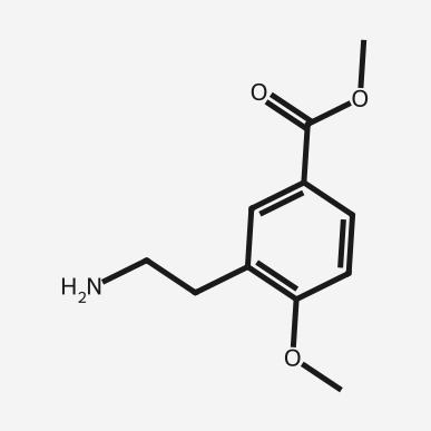 COC(=O)c1ccc(OC)c(CCN)c1